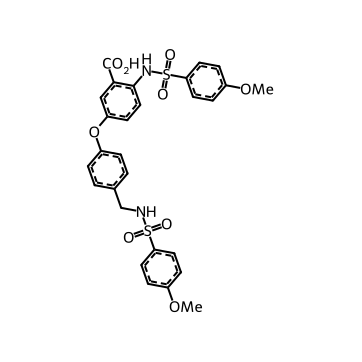 COc1ccc(S(=O)(=O)NCc2ccc(Oc3ccc(NS(=O)(=O)c4ccc(OC)cc4)c(C(=O)O)c3)cc2)cc1